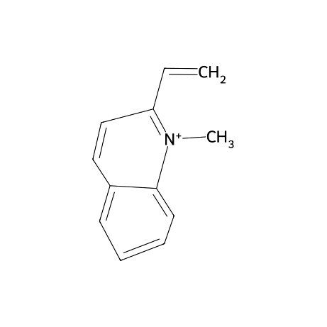 C=Cc1ccc2ccccc2[n+]1C